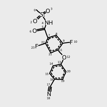 CS(=O)(=O)NC(=O)c1cc(F)c(Oc2ccc(C#N)cc2)cc1F